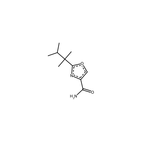 CC(C)C(C)(C)c1nc(C(N)=O)co1